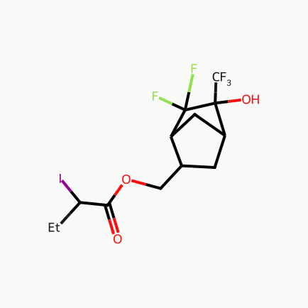 CCC(I)C(=O)OCC1CC2CC1C(F)(F)C2(O)C(F)(F)F